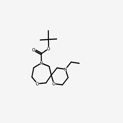 CCN1CCOC2(COCCN(C(=O)OC(C)(C)C)C2)C1